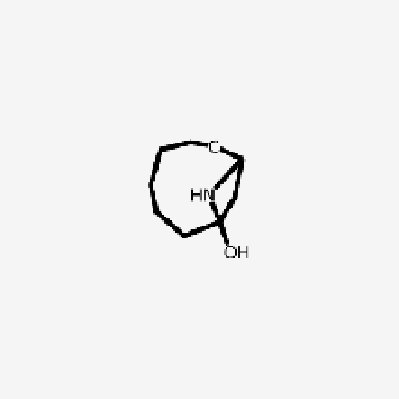 OC12CCCCCCC(C1)N2